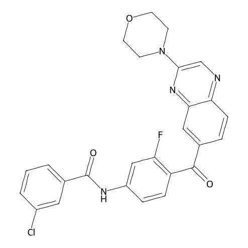 O=C(Nc1ccc(C(=O)c2ccc3ncc(N4CCOCC4)nc3c2)c(F)c1)c1cccc(Cl)c1